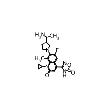 Cc1c(N2CC[C@@H]([C@H](C)N)C2)c(F)cc2c(C3=NOS(=O)N3)cc(=O)n(C3CC3)c12